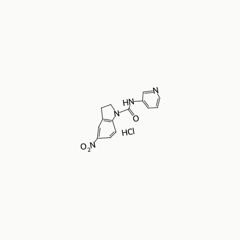 Cl.O=C(Nc1cccnc1)N1CCc2cc([N+](=O)[O-])ccc21